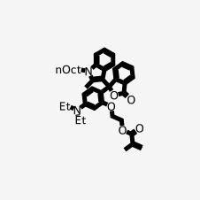 C=C(C)C(=O)OCCOc1cc(N(CC)CC)ccc1C1(c2c(C)n(CCCCCCCC)c3ccccc23)OC(=O)c2ccccc21